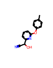 Cc1ccc(Oc2cccc(C(O)C#N)n2)cc1